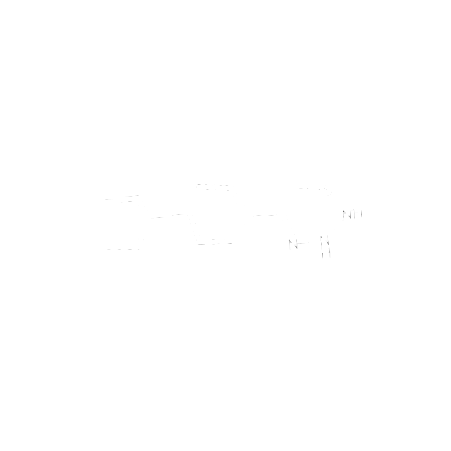 c1ccc(-c2ccc(C3=NNNSC3)cc2)cc1